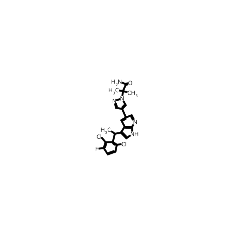 CC(c1c(Cl)ccc(F)c1Cl)c1c[nH]c2ncc(-c3cnn(C(C)(C)C(N)=O)c3)cc12